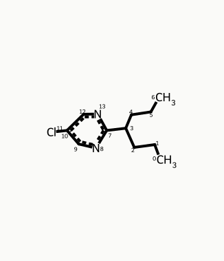 CCCC(CCC)c1ncc(Cl)cn1